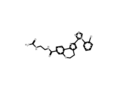 CC(=O)NCCNC(=O)c1ccc2c(c1)OCCc1cc(-c3nncn3-c3ccccc3Cl)sc1-2